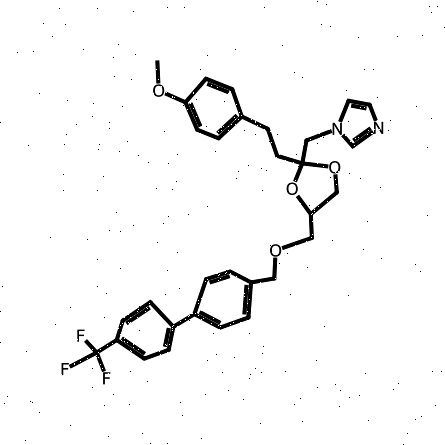 COc1ccc(CCC2(Cn3ccnc3)OCC(COCc3ccc(-c4ccc(C(F)(F)F)cc4)cc3)O2)cc1